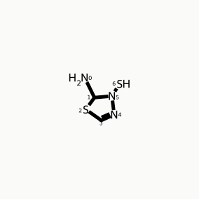 NC1SC=NN1S